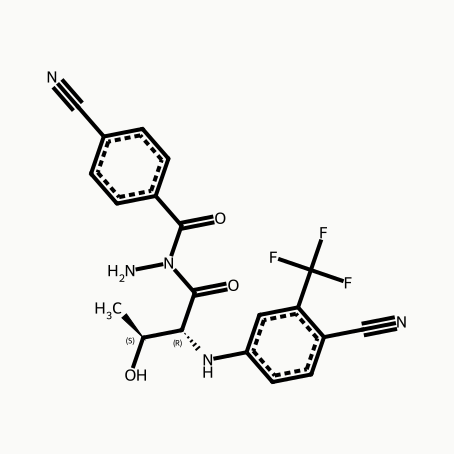 C[C@H](O)[C@@H](Nc1ccc(C#N)c(C(F)(F)F)c1)C(=O)N(N)C(=O)c1ccc(C#N)cc1